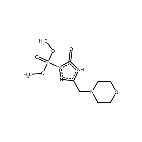 COP(=O)(OC)n1nc(CN2CCOCC2)[nH]c1=O